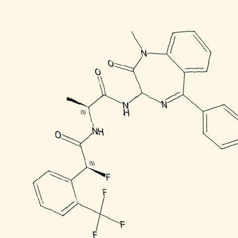 C[C@H](NC(=O)[C@@H](F)c1ccccc1C(F)(F)F)C(=O)NC1N=C(c2ccccc2)c2ccccc2N(C)C1=O